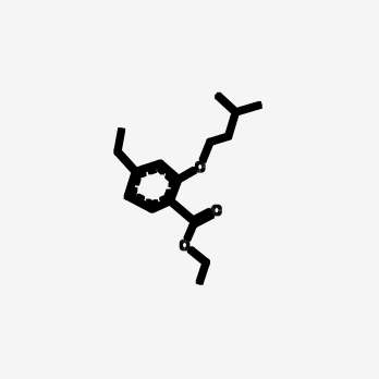 CCOC(=O)c1ccc(CC)cc1OCCC(C)C